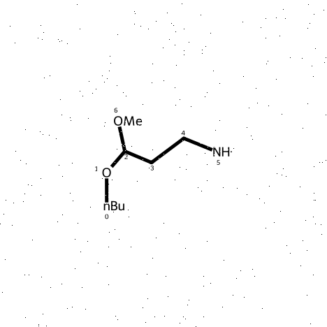 CCCCOC(CC[NH])OC